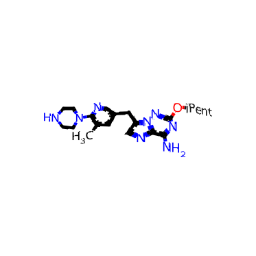 CCCC(C)Oc1nc(N)c2ncc(Cc3cnc(N4CCNCC4)c(C)c3)n2n1